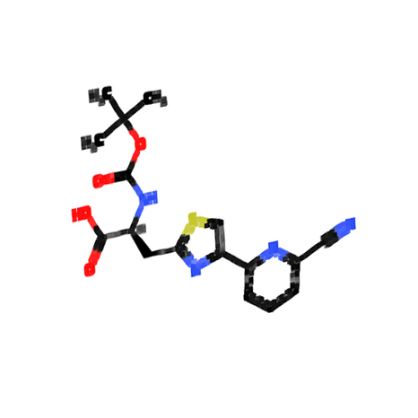 CC(C)(C)OC(=O)N[C@@H](Cc1nc(-c2cccc(C#N)n2)cs1)C(=O)O